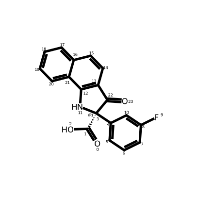 O=C(O)[C@]1(c2cccc(F)c2)Nc2c(ccc3ccccc23)C1=O